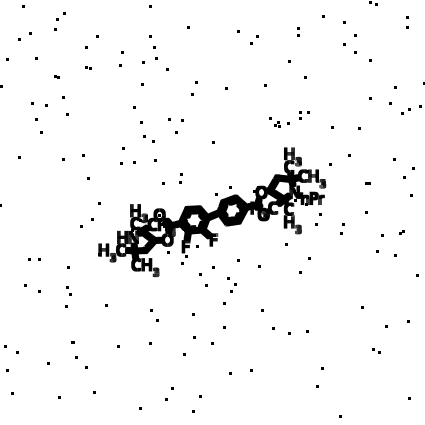 CCCN1C(C)(C)CC(OC(=O)c2ccc(-c3ccc(C(=O)OC4CC(C)(C)NC4(C)C)c(F)c3F)cc2)C1(C)C